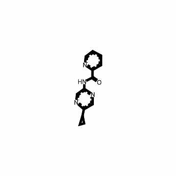 O=C(Nc1cnc(C2CC2)cn1)c1ccccn1